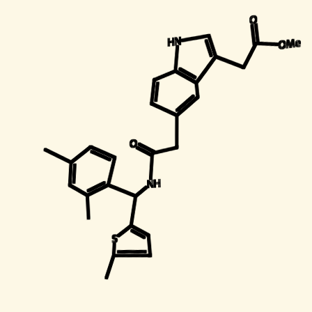 COC(=O)Cc1c[nH]c2ccc(CC(=O)NC(c3ccc(C)s3)c3ccc(C)cc3C)cc12